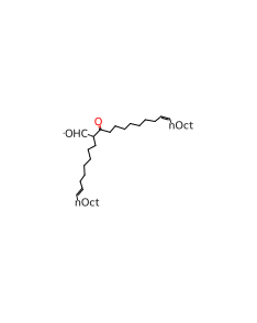 CCCCCCCCC=CCCCCCCC([C]=O)C(=O)CCCCCCC/C=C\CCCCCCCC